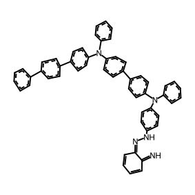 N=C1C=CC=C/C1=N/Nc1ccc(N(c2ccccc2)c2ccc(-c3ccc(N(c4ccccc4)c4ccc(-c5ccc(-c6ccccc6)cc5)cc4)cc3)cc2)cc1